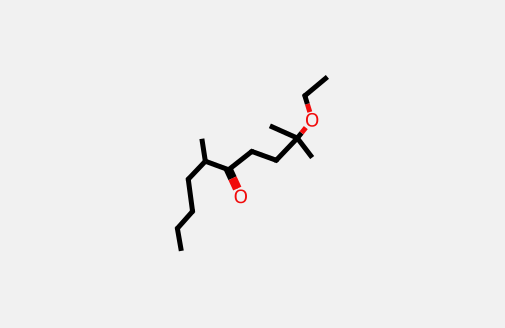 CCCCC(C)C(=O)CCC(C)(C)OCC